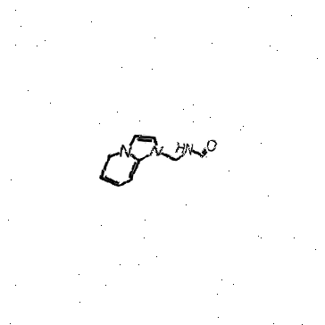 O=[C]NCN1C=CN2CC=CC=C21